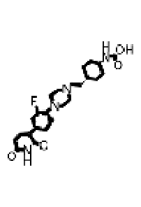 O=C1CCC(c2ccc(N3CCN(CC[C@H]4CC[C@@H](NC(=O)O)CC4)CC3)c(F)c2)C(=O)N1